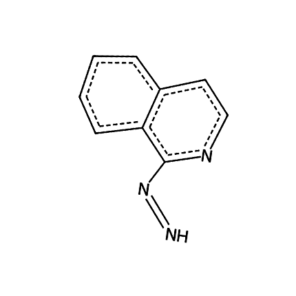 N=Nc1nccc2ccccc12